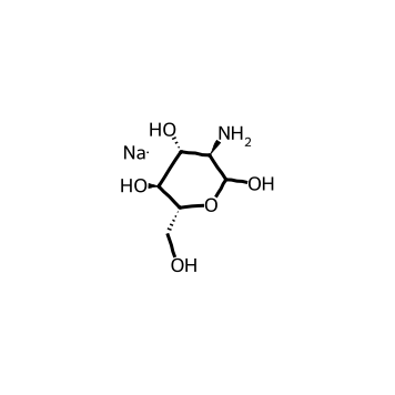 N[C@H]1C(O)O[C@H](CO)[C@@H](O)[C@@H]1O.[Na]